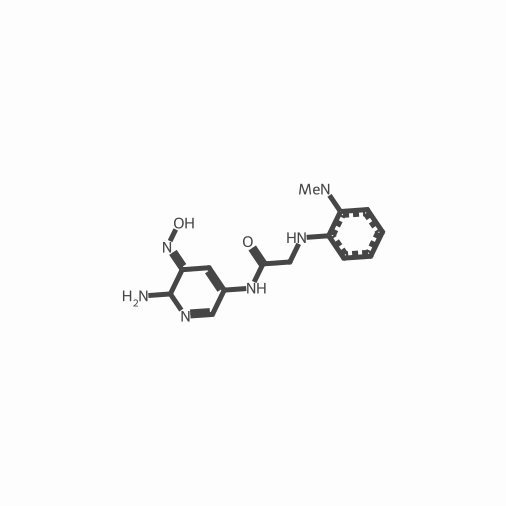 CNc1ccccc1NCC(=O)NC1=CC(=NO)C(N)N=C1